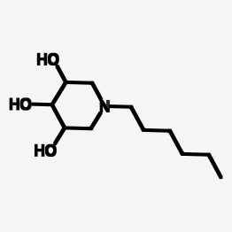 CCCCCCN1CC(O)C(O)C(O)C1